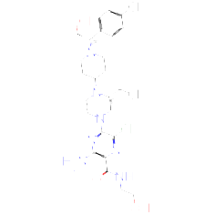 CC[C@H]1CN(c2nc(N)c(C(=O)NCCO)nc2Cl)CCN1C1CCN([C@@H](CO)c2ccc(C)cc2)CC1